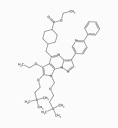 CCOC(=O)C1CCC(Cc2nc3c(-c4ccc(-c5ccccc5)nc4)cnn3c3c2c(OCC)c(OCC[Si](C)(C)C)n3COCC[Si](C)(C)C)CC1